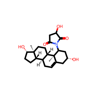 C[C@]12CC[C@H]3[C@@H](CC=C4C[C@@H](O)CC(N5C(=O)CC(O)C5=O)[C@@]43C)[C@@H]1CC[C@@H]2O